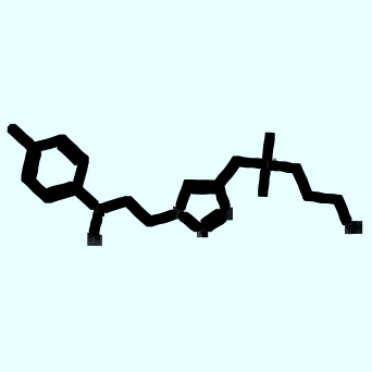 CCN(CCn1cc(C[N+](C)(C)CCCS)nn1)c1ccc(C)cc1